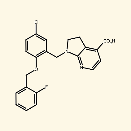 O=C(O)c1ccnc2c1CCN2Cc1cc(Cl)ccc1OCc1ccccc1F